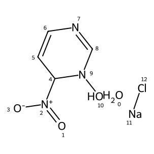 O.O=[N+]([O-])C1C=CN=CN1O.[Na][Cl]